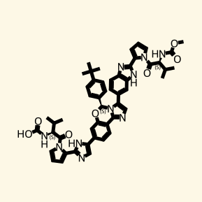 COC(=O)N[C@H](C(=O)n1cccc1-c1nc2ccc(-c3cnc4n3[C@H](c3ccc(C(C)(C)C)cc3)Oc3cc(-c5cnc(-c6cccn6C(=O)[C@@H](NC(=O)O)C(C)C)[nH]5)ccc3-4)cc2[nH]1)C(C)C